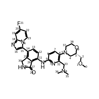 COC[C@@H]1CN(c2ccc(Nc3ccc(-c4cnc5cc(F)ccn45)c4c3C(=O)NC4)nc2CN(C)C)CCO1